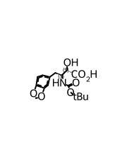 CC(C)(C)OC(=O)N[C@@H](Cc1ccc2c(c1)OCO2)[C@H](O)C(=O)O